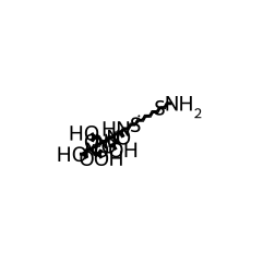 NCCSCCC[CH]CCSCCNC(=O)CN(CCN(CCN(CC(=O)O)CC(=O)O)CC(=O)O)CC(=O)O